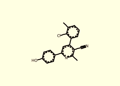 Cc1cccc(-c2cc(-c3ccc(O)cc3)nc(C)c2C#N)c1Cl